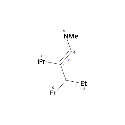 CCC(CC)/C(=C/NC)C(C)C